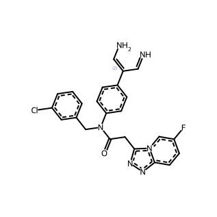 N=C/C(=C\N)c1ccc(N(Cc2cccc(Cl)c2)C(=O)Cc2nnc3ccc(F)cn23)cc1